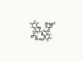 CCCCCCCOC(=O)Oc1cc(-c2cc(OC(=O)OCCCCCCC)c3ccccc3n2)nc2ccccc12